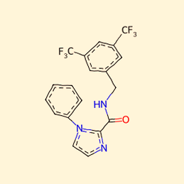 O=C(NCc1cc(C(F)(F)F)cc(C(F)(F)F)c1)c1nccn1-c1ccccc1